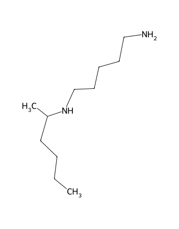 CCCCC(C)NCCCCCN